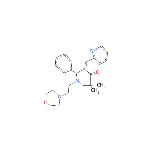 CC1(C)CN(CCN2CCOCC2)C(c2ccccc2)C(=Cc2ccccn2)C1=O